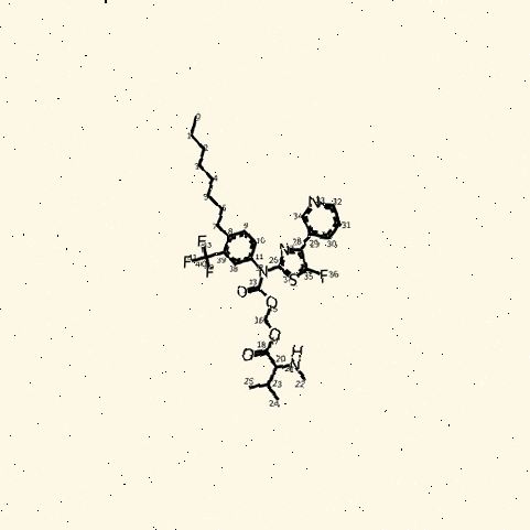 CCCCCCCCc1ccc(N(C(=O)OCOC(=O)C(NC)C(C)C)c2nc(-c3cccnc3)c(F)s2)cc1C(F)(F)F